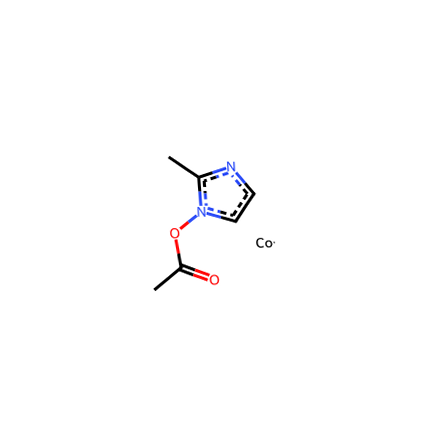 CC(=O)On1ccnc1C.[Co]